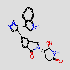 Cn1ncc(-c2ccc3c(c2)CN([C@H]2CCC(=O)NC2O)C3=O)c1-c1c[nH]c2ccccc12